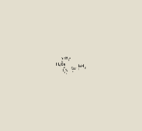 S.[Cu].[GaH3].[InH3].[SnH2]